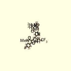 [2H]C([2H])([2H])C(C)(NC(=O)c1cc(-c2cc3c(C(=O)NC)c(-c4ccc(F)cc4)oc3nc2NCC(F)(F)F)cnc1C)c1ncon1